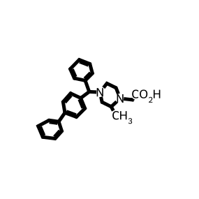 CC1CN(C(c2ccccc2)c2ccc(-c3ccccc3)cc2)CCN1CC(=O)O